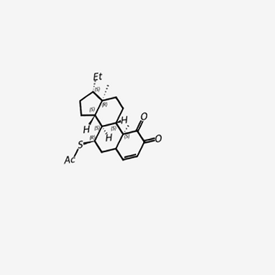 CC[C@H]1CC[C@H]2[C@@H]3[C@H](SC(C)=O)CC4C=CC(=O)C(=O)[C@]4(C)[C@H]3CC[C@]12C